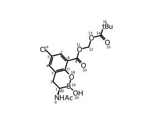 CC(=O)N[C@H]1Cc2cc(Cl)cc(C(=O)OCOC(=O)C(C)(C)C)c2OB1O